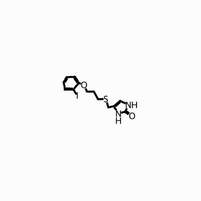 O=c1[nH]cc(CSCCCOc2ccccc2I)[nH]1